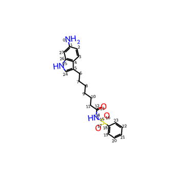 Nc1ccc2c(CCCCCCC(=O)NS(=O)(=O)c3ccccc3)c[nH]c2c1